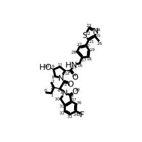 CCC(C)[C@@H](C(=O)N1C[C@H](O)C[C@H]1C(=O)NCc1ccc(-c2scnc2C)cc1)N1Cc2ccc(F)cc2C1=O